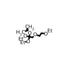 [CH2]COCCOCC(OCC)(OCC)OC(=C)C